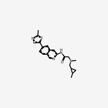 Cc1nnc(-c2ccc3cnc(NC(=O)CN(C)CC4CC4C)cc3c2)s1